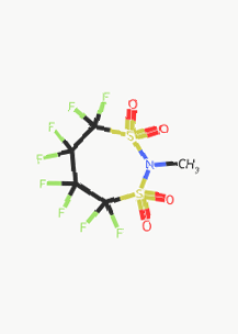 CN1S(=O)(=O)C(F)(F)C(F)(F)C(F)(F)C(F)(F)S1(=O)=O